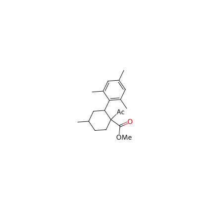 COC(=O)C1(C(C)=O)CCC(C)CC1c1c(C)cc(C)cc1C